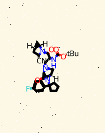 CC(C)(C)OC(=O)NC(CN1C[C@@H]2CC1C(=O)N2C1(c2ccc(F)cc2)CCCC1)C(=O)N1C(C#N)C[C@@H]2C[C@@H]21